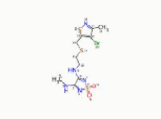 CNC1=NS(=O)(=O)N=C1NCCSCc1snc(C)c1Br